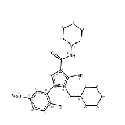 CCCc1c(C(=O)NN2CCCCC2)cc(-c2cc(OC)ccc2C)n1CC1CCCCC1